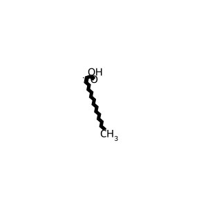 CCCCCCCCCCCCCC/C=[C]\C(=O)O